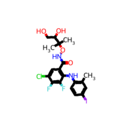 Cc1cc(I)ccc1Nc1c(C(=O)NOC(C)(C)C(O)CO)cc(Cl)c(F)c1F